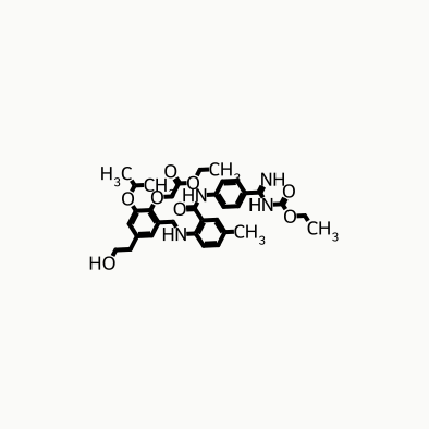 CCOC(=O)COc1c(CNc2ccc(C)cc2C(=O)Nc2ccc(C(=N)NC(=O)OCC)cc2)cc(CCO)cc1OC(C)C